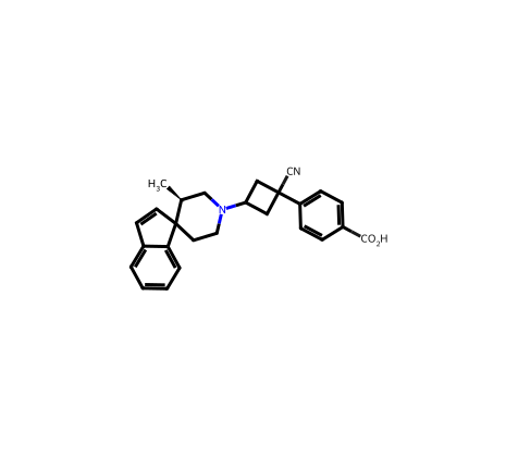 C[C@H]1CN(C2CC(C#N)(c3ccc(C(=O)O)cc3)C2)CCC12C=Cc1ccccc12